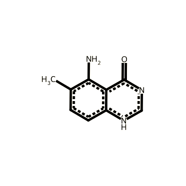 Cc1ccc2[nH]cnc(=O)c2c1N